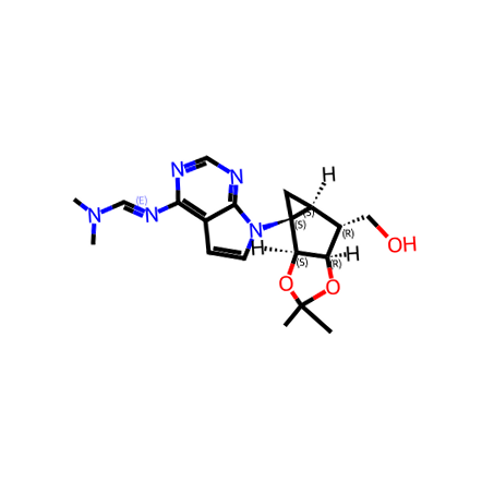 CN(C)/C=N/c1ncnc2c1ccn2[C@@]12C[C@H]1[C@H](CO)[C@H]1OC(C)(C)O[C@H]12